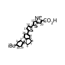 CCC(C)c1ccc(N2CCCc3cc(-c4ccc(-c5ccc(/C=C(\C#N)C(=O)O)s5)s4)ccc32)cc1